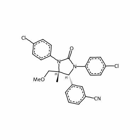 COC[C@@]1(C)[C@@H](c2cccc(C#N)c2)N(c2ccc(Cl)cc2)C(=O)N1c1ccc(Cl)cc1